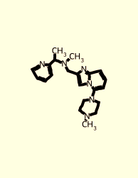 CC(c1ccccn1)N(C)Cc1cn2c(N3CCN(C)CC3)cccc2n1